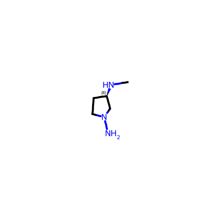 CN[C@@H]1CCN(N)C1